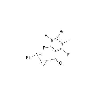 CCNC1CC1C(=O)c1c(F)c(F)c(Br)c(F)c1F